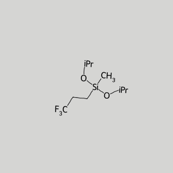 CC(C)O[Si](C)(CCC(F)(F)F)OC(C)C